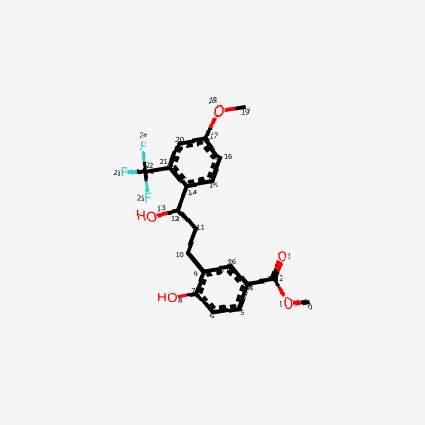 COC(=O)c1ccc(O)c(CCC(O)c2ccc(OC)cc2C(F)(F)F)c1